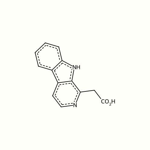 O=C(O)Cc1nccc2c1[nH]c1ccccc12